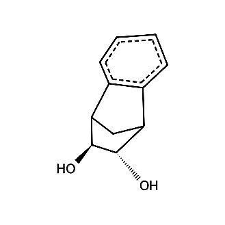 O[C@H]1C2CC(c3ccccc32)[C@@H]1O